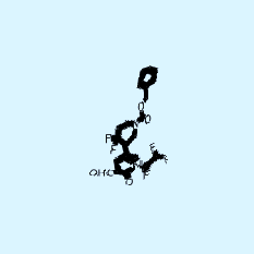 O=Cc1cc(C2CN(C(=O)OCc3ccccc3)CCC2(F)F)cn(C(F)C(F)F)c1=O